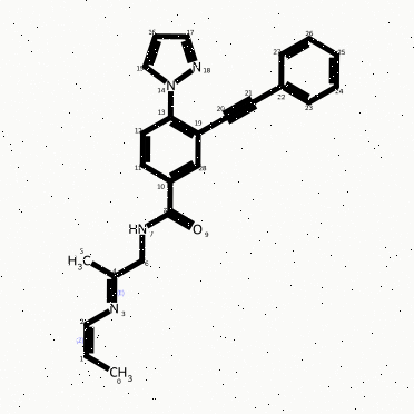 C/C=C\N=C(/C)CNC(=O)c1ccc(-n2cccn2)c(C#Cc2ccccc2)c1